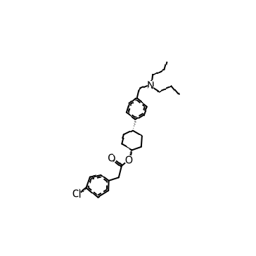 CCCN(CCC)Cc1ccc([C@H]2CC[C@H](OC(=O)Cc3ccc(Cl)cc3)CC2)cc1